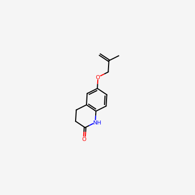 C=C(C)COc1ccc2c(c1)CCC(=O)N2